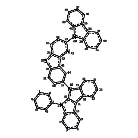 c1ccc(-n2c3ccccc3c3c4ccccc4n(-c4ccc5sc6ccc(-n7c8ccccc8c8ccccc87)nc6c5c4)c32)cc1